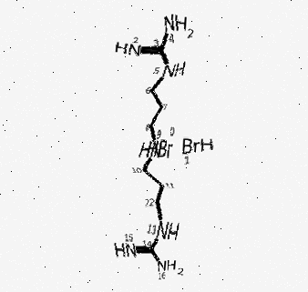 Br.Br.N=C(N)NCCCNCCCNC(=N)N